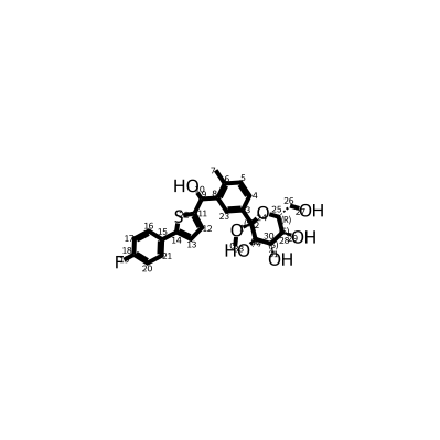 CO[C@@]1(c2ccc(C)c(C(O)c3ccc(-c4ccc(F)cc4)s3)c2)O[C@H](CO)[C@@H](O)[C@H](O)[C@H]1O